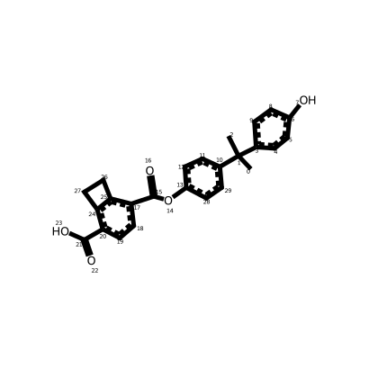 CC(C)(c1ccc(O)cc1)c1ccc(OC(=O)c2ccc(C(=O)O)c3c2CC3)cc1